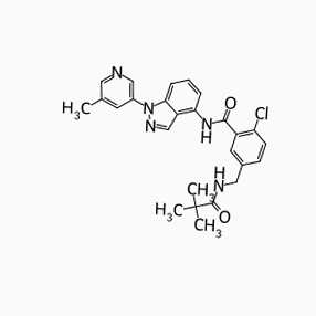 Cc1cncc(-n2ncc3c(NC(=O)c4cc(CNC(=O)C(C)(C)C)ccc4Cl)cccc32)c1